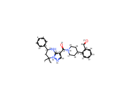 CC1(C)CC(c2ccccc2)Nc2c(C(=O)N3CCC(c4ccccc4C=O)CC3)cnn21